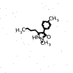 CCCCc1[nH]n(C)c(=O)c1-c1ccc(C)cc1